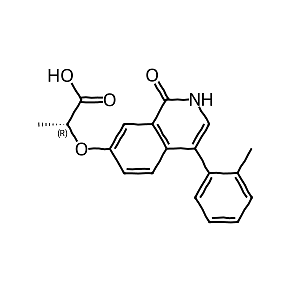 Cc1ccccc1-c1c[nH]c(=O)c2cc(O[C@H](C)C(=O)O)ccc12